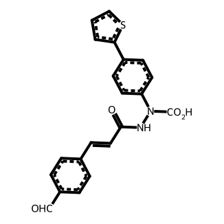 O=Cc1ccc(C=CC(=O)NN(C(=O)O)c2ccc(-c3cccs3)cc2)cc1